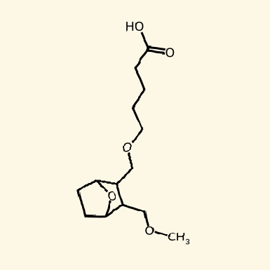 COCC1C2CCC(O2)C1COCCCCC(=O)O